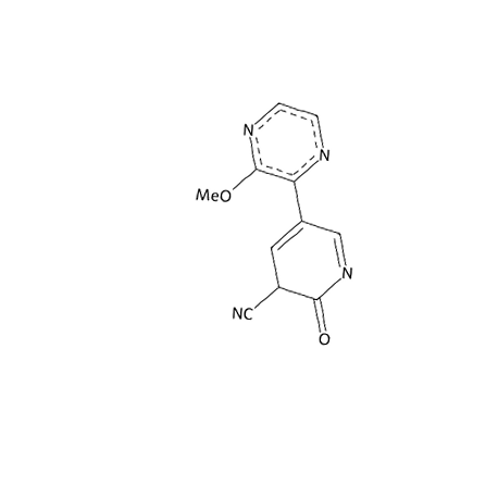 COc1nccnc1C1=CC(C#N)C(=O)N=C1